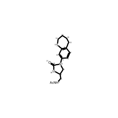 CC(=O)NCC1CN(c2ccc3c(c2)SCCCC3)C(=O)O1